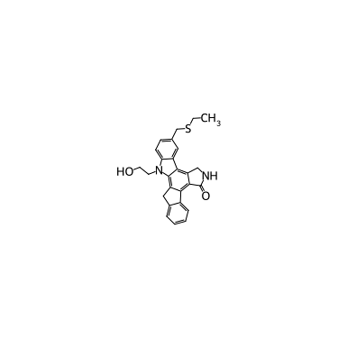 CCSCc1ccc2c(c1)c1c3c(c4c(c1n2CCO)Cc1ccccc1-4)C(=O)NC3